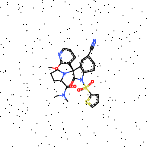 COc1ncccc1[C@]1(N2CCCC2C(=O)N(C)C)C(=O)N(S(=O)(=O)c2cccs2)c2ccc(C#N)cc21